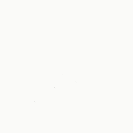 Cc1ccc(-c2c(-c3ccc(C(F)(F)F)cc3)nc(N3CCC(N)CC3)c(=O)n2C)cc1